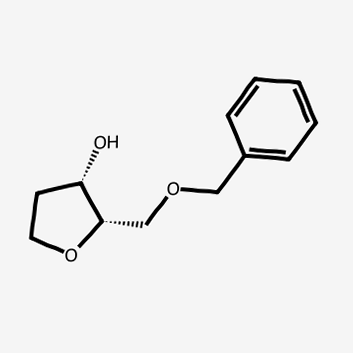 O[C@H]1CCO[C@H]1COCc1ccccc1